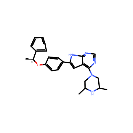 CC1CN(c2ncnc3[nH]c(-c4ccc(O[C@@H](C)c5ccccc5)cc4)cc23)CC(C)N1